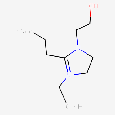 CCCCCCCCCCCC1=[N+](CC(=O)O)CCN1CCO